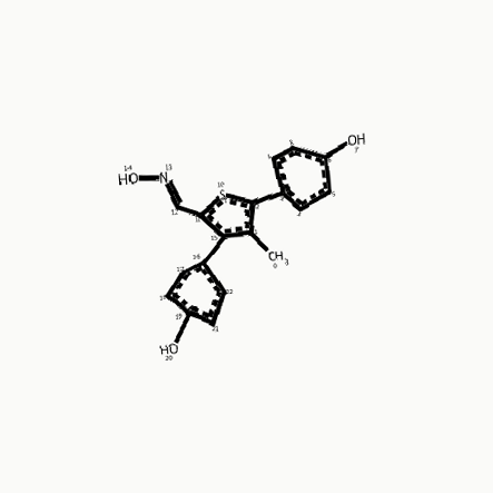 Cc1c(-c2ccc(O)cc2)sc(C=NO)c1-c1ccc(O)cc1